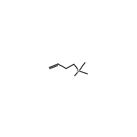 C=[C]CC[Si](C)(C)C